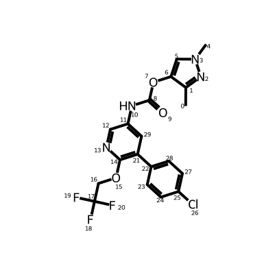 Cc1nn(C)cc1OC(=O)Nc1cnc(OCC(F)(F)F)c(-c2ccc(Cl)cc2)c1